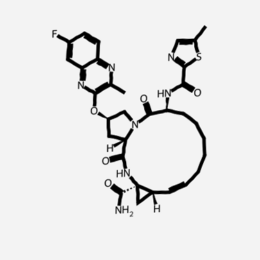 Cc1cnc(C(=O)N[C@H]2CCCCC/C=C\[C@@H]3C[C@@]3(C(N)=O)NC(=O)[C@@H]3C[C@@H](Oc4nc5cc(F)ccc5nc4C)CN3C2=O)s1